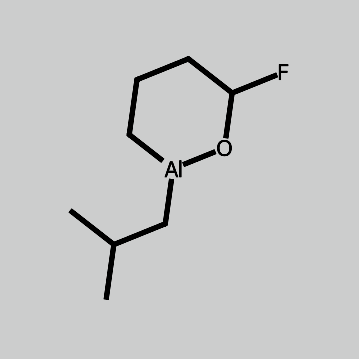 CC(C)[CH2][Al]1[CH2]CCC(F)[O]1